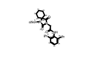 CCCCCCCCCN1C(=O)N(CC(=O)Nc2c(C(C)C)cccc2C(C)C)C(=O)C12CCCCC2